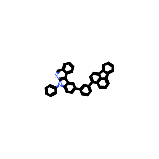 c1ccc(-n2c3ccc(-c4cccc(-c5ccc6c7c(cccc57)-c5ccccc5-6)c4)cc3c3c4ccccc4cnc32)cc1